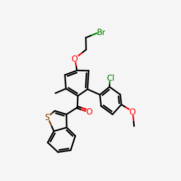 COc1ccc(-c2cc(OCCBr)cc(C)c2C(=O)c2csc3ccccc23)c(Cl)c1